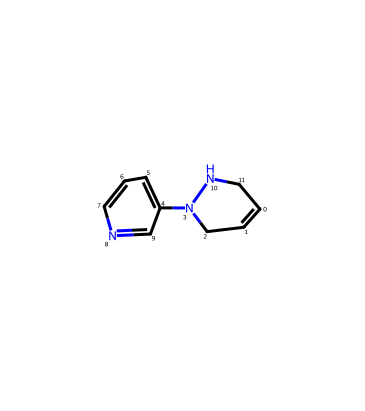 C1=CCN(c2cccnc2)NC1